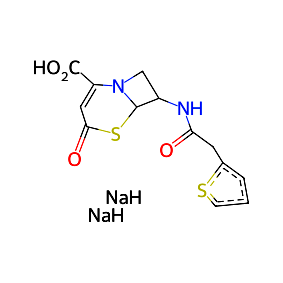 O=C(Cc1cccs1)NC1CN2C(C(=O)O)=CC(=O)SC12.[NaH].[NaH]